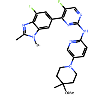 COC1(C)CCN(c2ccc(Nc3ncc(F)c(-c4cc(F)c5nc(C)n(C(C)C)c5c4)n3)nc2)CC1